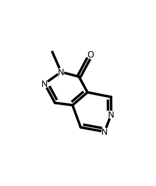 Cn1ncc2cnncc2c1=O